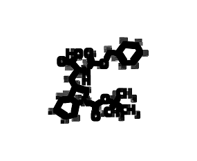 CC(C)(C)OC(=O)n1cc(CC(NC(=O)OCc2ccccc2)C(=O)O)c2ccccc21